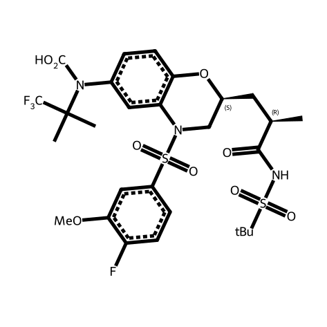 COc1cc(S(=O)(=O)N2C[C@H](C[C@@H](C)C(=O)NS(=O)(=O)C(C)(C)C)Oc3ccc(N(C(=O)O)C(C)(C)C(F)(F)F)cc32)ccc1F